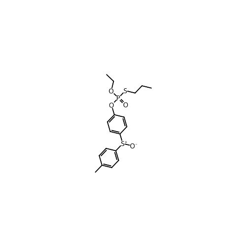 CCCSP(=O)(OCC)Oc1ccc([S+]([O-])c2ccc(C)cc2)cc1